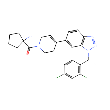 C[C@H](c1ccc(Cl)cc1Cl)n1nnc2ccc(C3=CCN(C(=O)C4(N)CCCC4)CC3)cc21